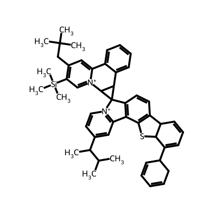 CC(C)C(C)c1cc[n+]2c(c1)-c1c(ccc3c1SC1C(C4C=CC=CC4)=CC=CC31)C21C2c3ccccc3-c3cc(CC(C)(C)C)c([Si](C)(C)C)c[n+]3C21